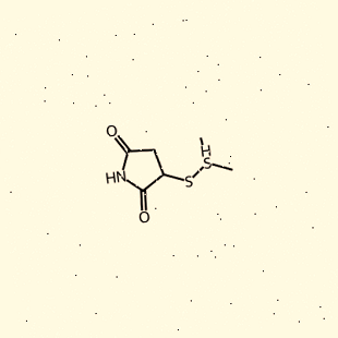 C[SH](C)SC1CC(=O)NC1=O